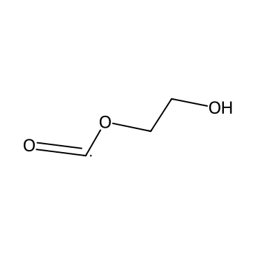 O=[C]OCCO